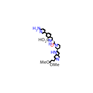 COC(CCc1cc2[nH]c([C@@H]3CCCN(C(=O)C[C@@H](Cc4ccc(-c5ccc(N)nc5)cc4)NC(=O)O)C3)cc2cn1)OC